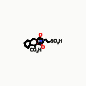 O=C1C2C3c4ccccc4C(C(=O)O)(c4ccccc43)C2C(=O)N1CCS(=O)(=O)O